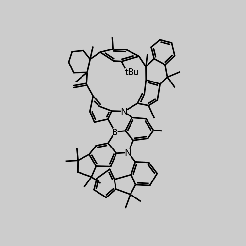 C=C1c2ccc3c(c2)N(c2cc4c(cc2C)C(C)(C)c2ccccc2C4(C)c2cc(C)c(cc2C(C)(C)C)C2(C)CCCCC12C)c1cc(C)cc2c1B3c1cc3c(cc1N2c1cccc2c1-c1ccccc1C2(C)C)C(C)(C)CC3(C)C